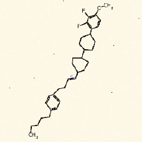 CCCCCc1ccc(CC/C=C/C2CCC(C3CCC(c4ccc(OC)c(F)c4F)CC3)CC2)cc1